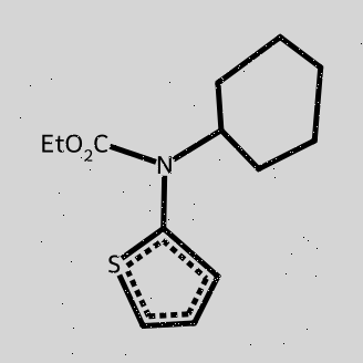 CCOC(=O)N(c1cccs1)C1CCCCC1